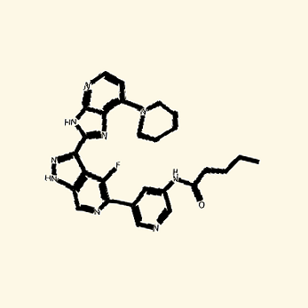 CCCCC(=O)Nc1cncc(-c2ncc3[nH]nc(-c4nc5c(N6CCCCC6)ccnc5[nH]4)c3c2F)c1